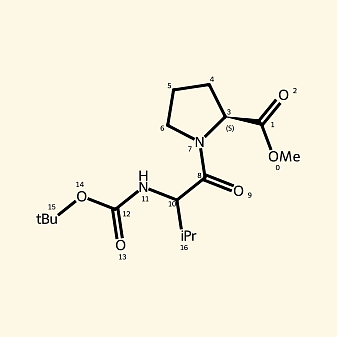 COC(=O)[C@@H]1CCCN1C(=O)C(NC(=O)OC(C)(C)C)C(C)C